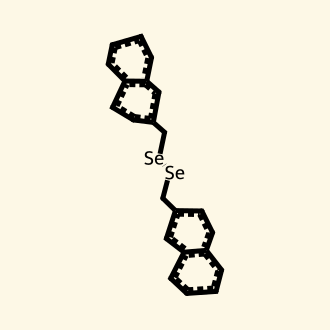 c1ccc2cc(C[Se][Se]Cc3ccc4ccccc4c3)ccc2c1